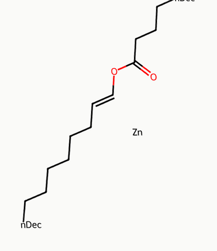 CCCCCCCCCCCCCCCCC=COC(=O)CCCCCCCCCCCCC.[Zn]